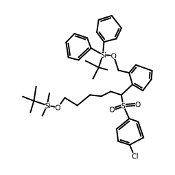 CC(C)(C)[Si](C)(C)OCCCCCC(c1ccccc1CO[Si](c1ccccc1)(c1ccccc1)C(C)(C)C)S(=O)(=O)c1ccc(Cl)cc1